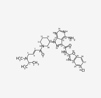 CC(C)N(C)CC=CC(=O)N1CCC[C@@H](n2nc(C(=O)Nc3nc4cc(Cl)ccc4o3)c3c(N)ncnc32)C1